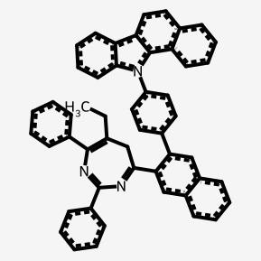 CCC1=C(c2ccccc2)N=C(c2ccccc2)N=C(c2cc3ccccc3cc2-c2ccc(-n3c4ccccc4c4ccc5ccccc5c43)cc2)C1